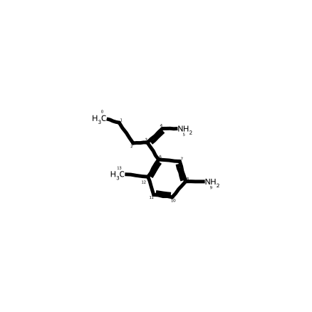 CCC/C(=C/N)c1cc(N)ccc1C